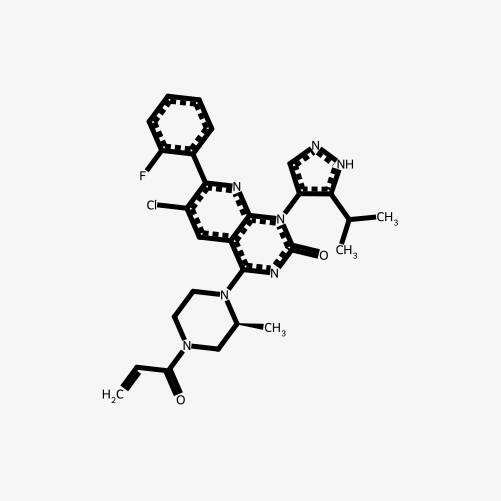 C=CC(=O)N1CCN(c2nc(=O)n(-c3cn[nH]c3C(C)C)c3nc(-c4ccccc4F)c(Cl)cc23)[C@@H](C)C1